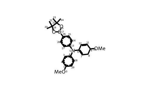 COc1ccc(N(C2=CCC(OC)C=C2)c2ccc(B3OC(C)(C)C(C)(C)O3)cc2)cc1